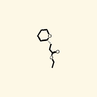 CCOC(=O)CC[C@@H]1CCCCO1